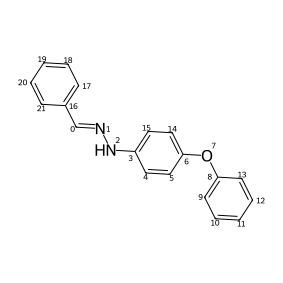 C(=NNc1ccc(Oc2ccccc2)cc1)c1ccccc1